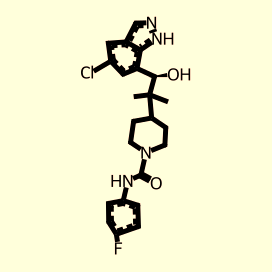 CC(C)(C1CCN(C(=O)Nc2ccc(F)cc2)CC1)[C@H](O)c1cc(Cl)cc2cn[nH]c12